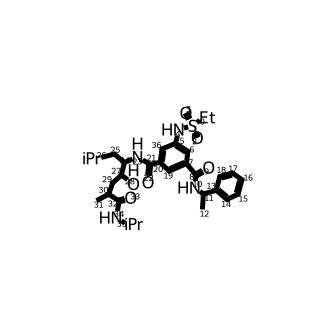 CCS(=O)(=O)Nc1cc(C(=O)NC(C)c2ccccc2)cc(C(=O)NC(CC(C)C)C(O)CC(C)C(=O)NC(C)C)c1